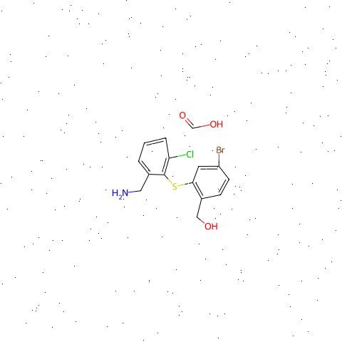 NCc1cccc(Cl)c1Sc1cc(Br)ccc1CO.O=CO